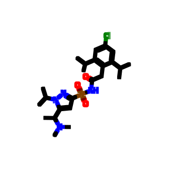 CC(C)c1cc(Cl)cc(C(C)C)c1CC(=O)NS(=O)(=O)c1cc(C(C)N(C)C)n(C(C)C)n1